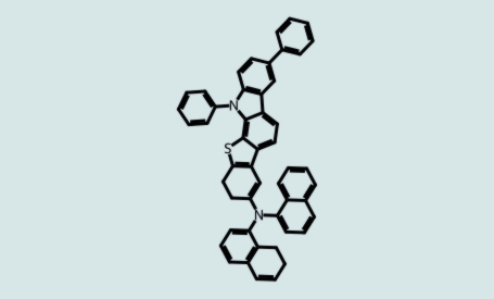 C1=Cc2cccc(N(C3=Cc4c(sc5c4ccc4c6cc(-c7ccccc7)ccc6n(-c6ccccc6)c45)CC3)c3cccc4ccccc34)c2CC1